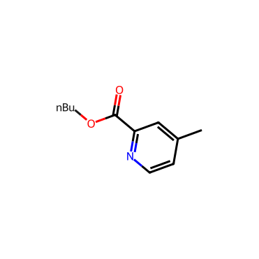 CCCCOC(=O)c1cc(C)ccn1